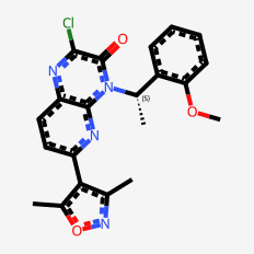 COc1ccccc1[C@H](C)n1c(=O)c(Cl)nc2ccc(-c3c(C)noc3C)nc21